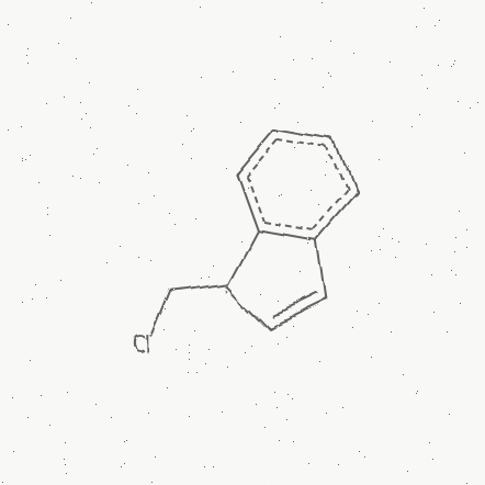 ClC[C]1C=Cc2ccccc21